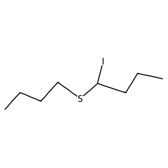 CCCCSC(I)CCC